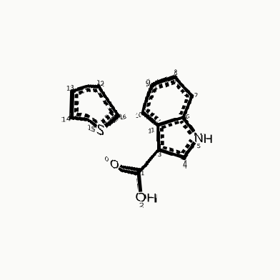 O=C(O)c1c[nH]c2ccccc12.c1ccsc1